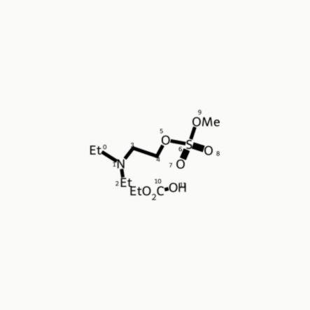 CCN(CC)CCOS(=O)(=O)OC.CCOC(=O)O